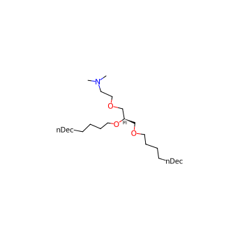 CCCCCCCCCCCCCCOC[C@H](COCCN(C)C)OCCCCCCCCCCCCCC